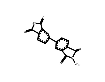 CN1C(=O)c2ccc(-c3ccc4c(c3)C(=O)NC4=O)cc2C1=O